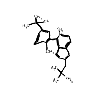 Cc1ccc(C(C)(C)C)cc1-c1c2ccc(CC(C)(C)C)cc2cc[n+]1C